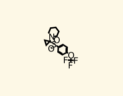 O=S(=O)(c1ccc(OC(F)(F)F)cc1)C1(N2CCCCC2)CC1